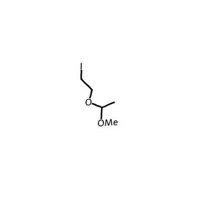 COC(C)OCCI